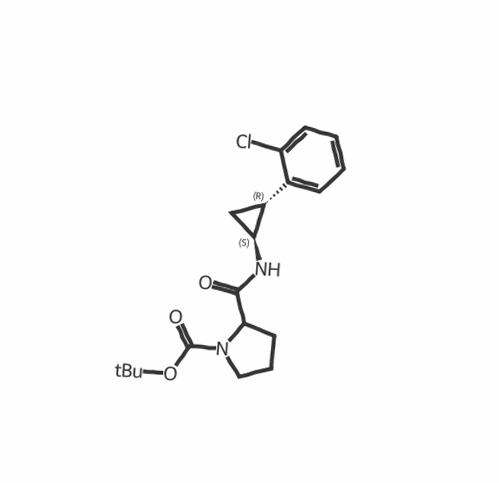 CC(C)(C)OC(=O)N1CCCC1C(=O)N[C@H]1C[C@@H]1c1ccccc1Cl